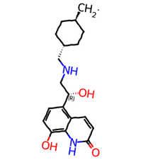 [CH2][C@H]1CC[C@H](CNC[C@H](O)c2ccc(O)c3[nH]c(=O)ccc23)CC1